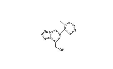 Cc1ccncc1-c1cc(CO)c2ncnn2c1